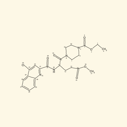 CCOC(=O)N1CCN(C(=O)C(CCC(=O)OC)NC(=O)c2cc(Cl)c3ccccc3n2)CC1